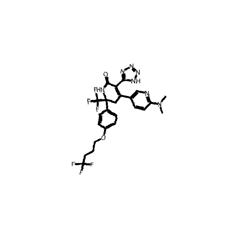 CN(C)c1ccc(C2=C(c3nnn[nH]3)C(=O)NC(c3ccc(OCCCC(F)(F)F)cc3)(C(F)(F)F)C2)cn1